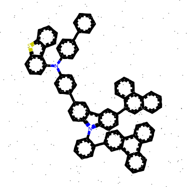 c1ccc(-c2ccc(N(c3ccc(-c4ccc5c(c4)c4cc(-c6cc7ccccc7c7ccccc67)ccc4n5-c4ccccc4-c4ccc5c6ccccc6c6ccccc6c5c4)cc3)c3cccc4sc5ccccc5c34)cc2)cc1